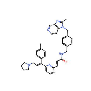 Cc1ccc(/C(=C\CN2CCCC2)c2cccc(C=CC(=O)NCc3ccc(Cn4c(C)nc5cnccc54)cc3)n2)cc1